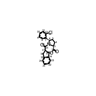 O=C(O)[C@@H]1CC[C@H](c2ccccc2Cl)N1C(=O)C1Cc2ccccc2C1